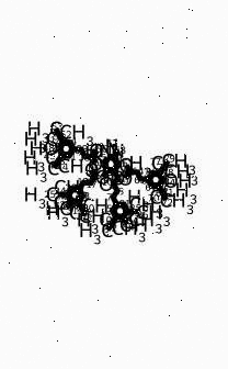 CC(C)(C)c1cc(CCC(=O)Oc2c(OC(=O)CCc3cc(C(C)(C)C)c(O)c(C(C)(C)C)c3)c(OC(=O)CCc3cc(C(C)(C)C)c(O)c(C(C)(C)C)c3)c3[nH]nnc3c2OC(=O)CCc2cc(C(C)(C)C)c(O)c(C(C)(C)C)c2)cc(C(C)(C)C)c1O